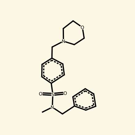 CN(Cc1ccccc1)S(=O)(=O)c1ccc(CN2CCOCC2)cc1